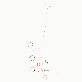 CC(=O)O[C@@]12CO[C@@H]1C[C@H](O)[C@@]1(C)C(=O)[C@H](C)C3=C(C)[C@@H](OC(=O)[C@H](OC(=O)CCCCCCCCCCCCCCCCC(=O)O)[C@@H](NC(=O)c4ccccc4)c4ccccc4)C[C@@](O)([C@@H](OC(=O)c4ccccc4)[C@H]21)C3(C)C